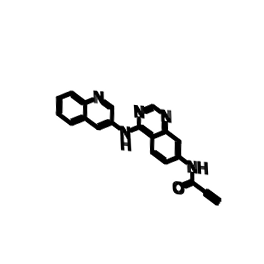 C#CC(=O)Nc1ccc2c(Nc3cnc4ccccc4c3)ncnc2c1